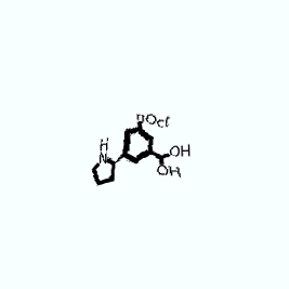 CCCCCCCCc1cc(C(O)O)cc([C@H]2CCCN2)c1